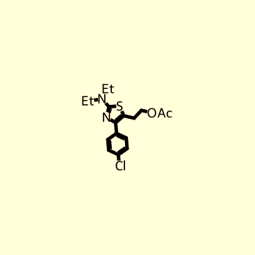 CCN(CC)c1nc(-c2ccc(Cl)cc2)c(CCOC(C)=O)s1